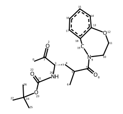 CC(=O)[C@H](CC(C)C(=O)N1CCOc2ccccc2C1)NC(=O)OC(C)(C)C